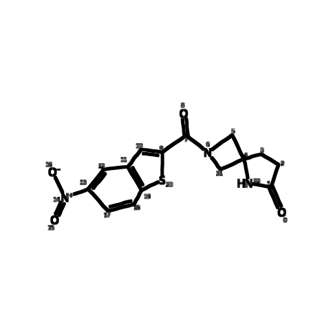 O=C1CCC2(CN(C(=O)c3cc4cc([N+](=O)[O-])ccc4s3)C2)N1